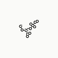 c1cncc(-c2cccc(-c3cc(-c4cc5ccccc5c5ccccc45)nc(Cc4cccc(-c5c6ccccc6c(-c6ccc7ccccc7c6)c6ccccc56)c4)n3)c2)c1